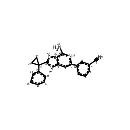 N#Cc1cccc(-c2cc3nc(C4(c5ccccc5)CC4)nn3c(N)n2)c1